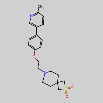 O=S1(=O)CC2(CCN(CCOc3ccc(-c4ccc(C(F)(F)F)nc4)cc3)CC2)C1